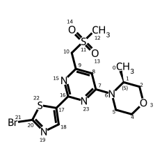 C[C@H]1COCCN1c1cc(CS(C)(=O)=O)nc(-c2cnc(Br)s2)n1